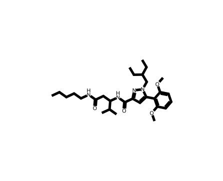 CCCCCNC(=O)CC(NC(=O)c1cc(-c2c(OC)cccc2OC)n(CC(CC)CC)n1)C(C)C